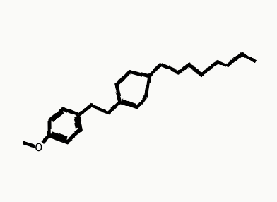 CCCCCCCCC1CC=C(CCc2ccc(OC)cc2)CC1